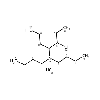 CCCCN(CCCC)C(CCC)C(Cl)CC.Cl